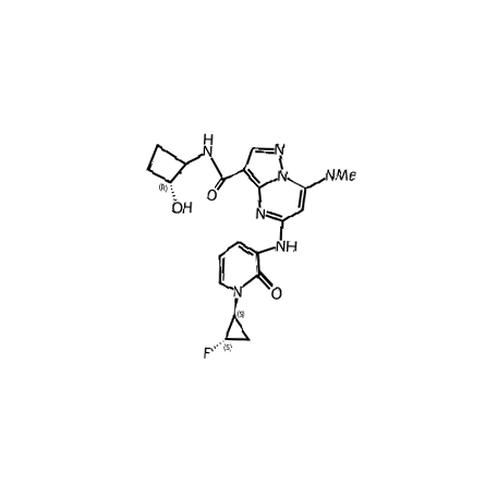 CNc1cc(Nc2cccn([C@H]3C[C@@H]3F)c2=O)nc2c(C(=O)NC3CC[C@H]3O)cnn12